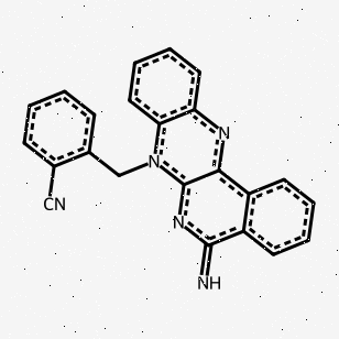 N#Cc1ccccc1Cn1c2nc(=N)c3ccccc3c-2nc2ccccc21